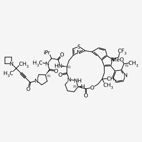 CO[C@@H](C)c1ncccc1-c1c2c3cc(ccc3n1CC(F)(F)F)-c1nc(cs1)C[C@H](NC(=O)C(C(C)C)N(C)C(=O)[C@H]1CCN(C(=O)C#CC(C)(C)N3CCC3)C1)C(=O)N1CCC[C@H](N1)C(=O)OCC(C)(C)C2